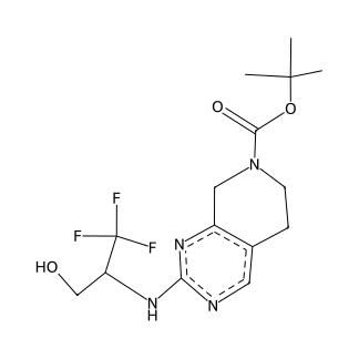 CC(C)(C)OC(=O)N1CCc2cnc(NC(CO)C(F)(F)F)nc2C1